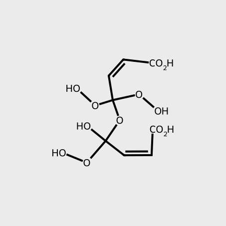 O=C(O)/C=C\C(O)(OO)OC(/C=C\C(=O)O)(OO)OO